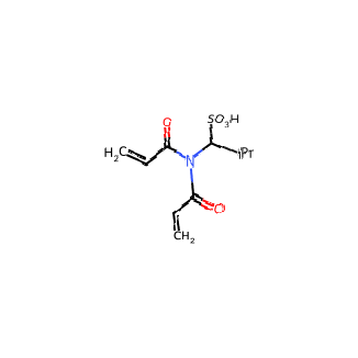 C=CC(=O)N(C(=O)C=C)C(C(C)C)S(=O)(=O)O